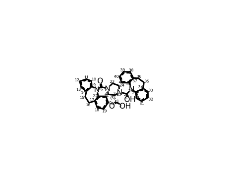 O=C(O)[C@@H]1CN(C(=O)N2c3ccccc3CCc3ccccc32)CCN1C(O)N1c2ccccc2CCc2ccccc21